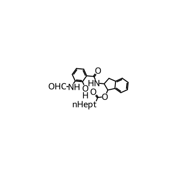 CCCCCCCC(=O)OC1c2ccccc2CC1NC(=O)c1cccc(NC=O)c1O